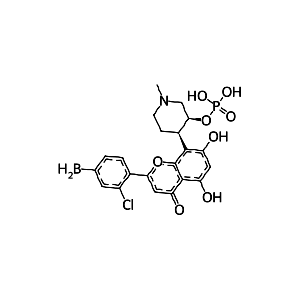 Bc1ccc(-c2cc(=O)c3c(O)cc(O)c([C@H]4CCN(C)C[C@H]4OP(=O)(O)O)c3o2)c(Cl)c1